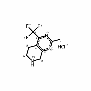 Cc1nc2c(c(C(F)(F)F)n1)CCNC2.Cl